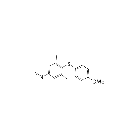 C=Nc1cc(C)c(Sc2ccc(OC)cc2)c(C)c1